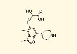 Cc1coc2c(N3CCNCC3)cc(F)c(C)c12.O=C(O)C(=O)O